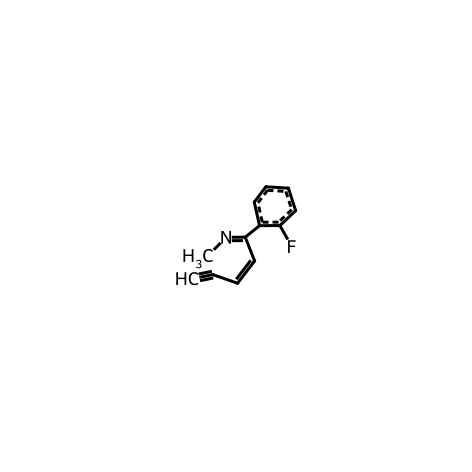 C#C/C=C\C(=N/C)c1ccccc1F